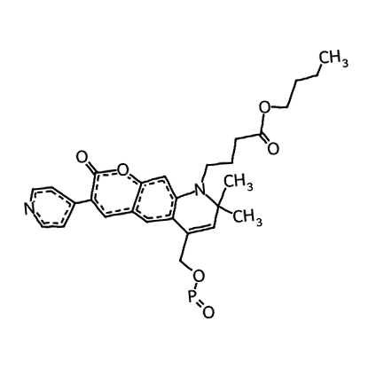 CCCCOC(=O)CCCN1c2cc3oc(=O)c(-c4ccncc4)cc3cc2C(COP=O)=CC1(C)C